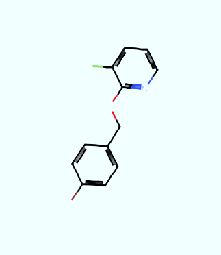 Fc1cccnc1OCc1ccc(Br)cc1